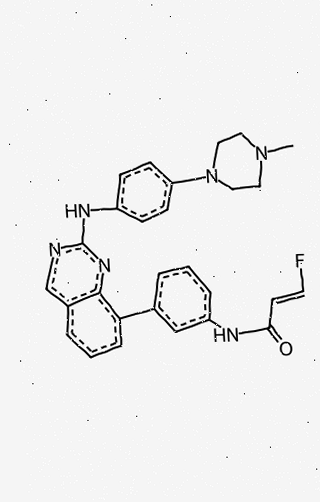 CN1CCN(c2ccc(Nc3ncc4cccc(-c5cccc(NC(=O)C=CF)c5)c4n3)cc2)CC1